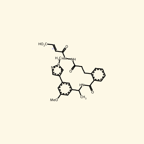 COc1cc(-c2cnn(C)c2)cc(C(C)NC(=O)c2ccccc2CCC(=O)NNC(=O)/C=C/C(=O)O)c1